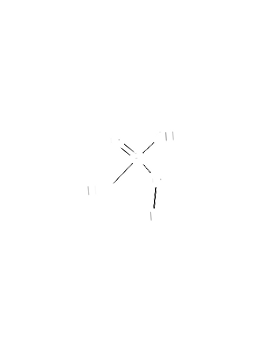 CP(C)(=O)OF